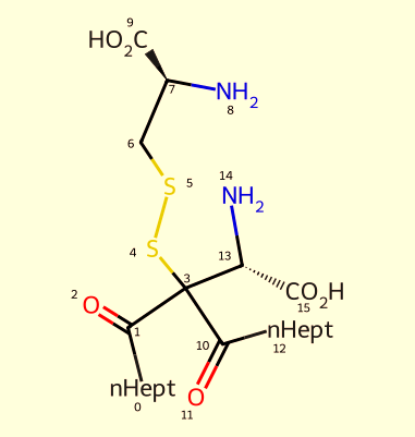 CCCCCCCC(=O)C(SSC[C@H](N)C(=O)O)(C(=O)CCCCCCC)[C@H](N)C(=O)O